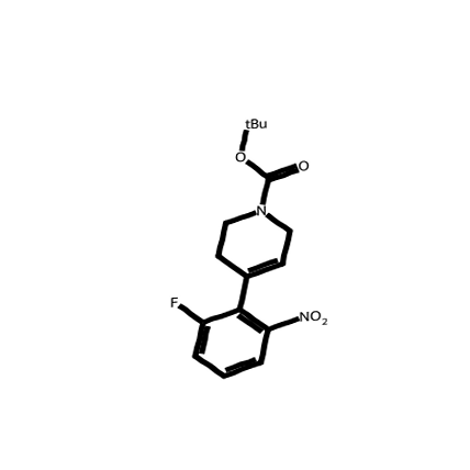 CC(C)(C)OC(=O)N1CC=C(c2c(F)cccc2[N+](=O)[O-])CC1